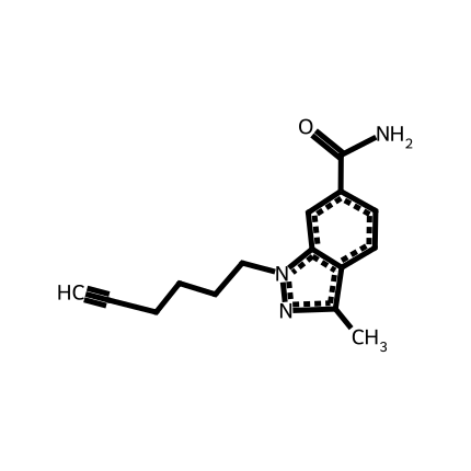 C#CCCCCn1nc(C)c2ccc(C(N)=O)cc21